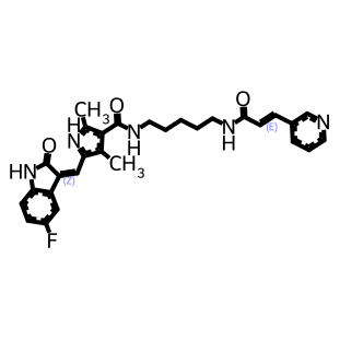 Cc1[nH]c(/C=C2\C(=O)Nc3ccc(F)cc32)c(C)c1C(=O)NCCCCCNC(=O)/C=C/c1cccnc1